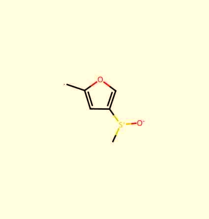 [CH2]c1cc([S+](C)[O-])co1